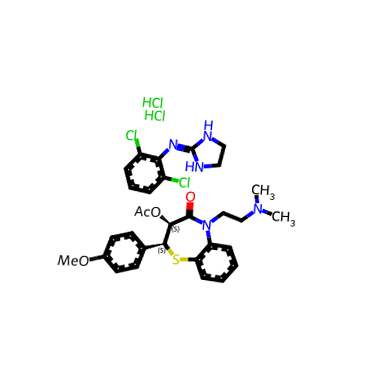 COc1ccc([C@@H]2Sc3ccccc3N(CCN(C)C)C(=O)[C@@H]2OC(C)=O)cc1.Cl.Cl.Clc1cccc(Cl)c1N=C1NCCN1